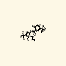 C=CCn1c(=NC(=O)c2cc(C(F)(F)F)ccc2F)cc(C(C)(C)C)n1C